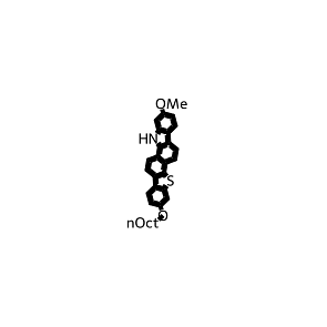 CCCCCCCCOc1ccc2c(c1)sc1c2ccc2c1ccc1c3ccc(OC)cc3[nH]c12